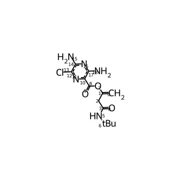 C=C(CC(=O)NC(C)(C)C)OC(=O)c1nc(Cl)c(N)nc1N